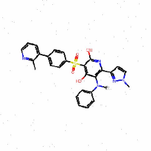 CCN(c1ccccc1)c1c(-c2ccn(C)n2)nc(O)c(S(=O)(=O)c2ccc(-c3cccnc3C)cc2)c1O